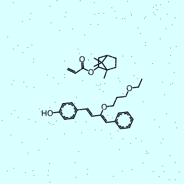 C=CC(=O)OC1CC2CCC1(C)C2(C)C.CCOCCCOC(C=Cc1ccc(O)cc1)=Cc1ccccc1